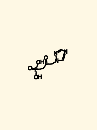 O=C(Cn1cncn1)CP(=O)(O)O